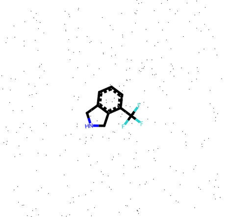 FC(F)(F)c1cccc2c1CNC2